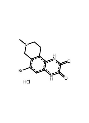 CN1CCc2c(c(Br)cc3[nH]c(=O)c(=O)[nH]c23)C1.Cl